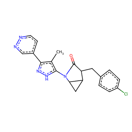 Cc1c(-c2ccnnc2)n[nH]c1N1C(=O)C(Cc2ccc(Cl)cc2)C2CC21